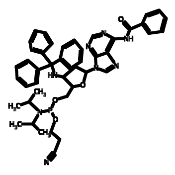 CC(C)N(C(C)C)P(OCCC#N)OCC1OC(n2cnc3c(NC(=O)c4ccccc4)ncnc32)CC1NC(c1ccccc1)(c1ccccc1)c1ccccc1